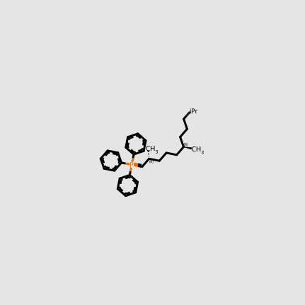 CC(C)CCC[C@@H](C)CCC[C@@H](C)C=P(c1ccccc1)(c1ccccc1)c1ccccc1